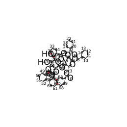 O=C(OCC1O[C@@H](OCc2ccccc2)C(OC(=O)c2ccccc2)C(OC(=O)c2ccccc2)[C@@H]1O[C@@H]1OC(CO)[C@H](O)[C@H](OC(=O)c2ccccc2)C1OC(=O)c1ccccc1)c1ccccc1